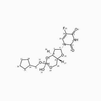 O=c1[nH]c(=O)n([C@H]2C[C@@H]3O[PH](O)(OCC4CCCC4)OC[C@H]3O2)cc1F